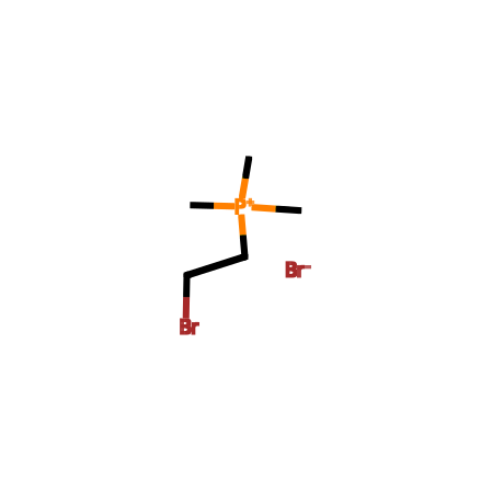 C[P+](C)(C)CCBr.[Br-]